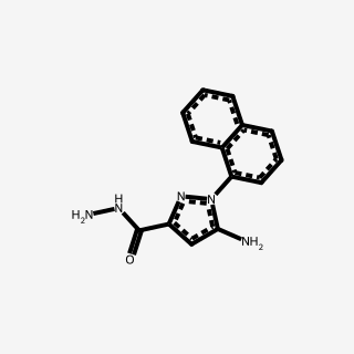 NNC(=O)c1cc(N)n(-c2cccc3ccccc23)n1